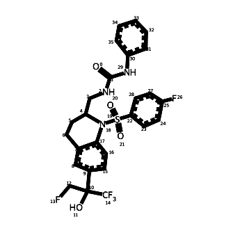 O=C(NCC1CCc2cc(C(O)(CF)C(F)(F)F)ccc2N1S(=O)(=O)c1ccc(F)cc1)Nc1ccccc1